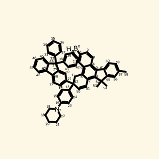 Bc1ccc2c3c(c4c(c2c1)CC(c1ccc(N2CCCCC2)cc1)(c1ccc2c(c1)C(c1ccccc1)(c1ccccc1)c1ccccc1-2)C=C4)C(C)(C)c1cc(C)ccc1-3